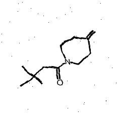 C=C1CCN(C(=O)CC(C)(C)C)CC1